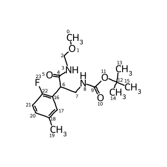 COCNC(=O)C(CNC(=O)OC(C)(C)C)c1cc(C)ccc1F